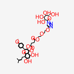 COc1ccc(-c2oc3c(CC=C(C)C)c(O)cc(O)c3c(=O)c2OC(=O)CCC(=O)OCCOCCOc2cn(C3O[C@H](CO)[C@@H](O)[C@H](O)[C@H]3O)nn2)cc1